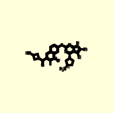 CCc1[nH]c2nc(Sc3ccc4cc(C(=O)N5CC(O)C5)c(C)[n+]([O-])c4c3)nc(N3CC[C@@H](N)C3)c2c1Cl